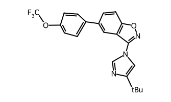 CC(C)(C)c1cn(-c2noc3ccc(-c4ccc(OC(F)(F)F)cc4)cc23)cn1